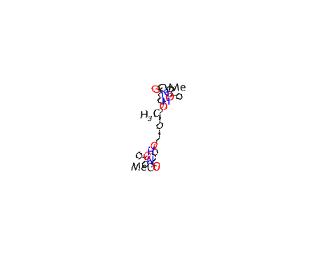 COC(=O)C(Cc1ccc(OC/C=C/C#Cc2ccc(C#C/C(C)=C/COc3ccc(CC(Nc4ccccc4C(=O)c4ccccc4)C(=O)OC)cc3)cc2)cc1)Nc1ccccc1C(=O)c1ccccc1